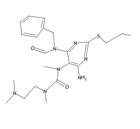 CCCSc1nc(N)c(N(C)C(=O)N(C)CCN(C)C)c(N(C=O)Cc2ccccc2)n1